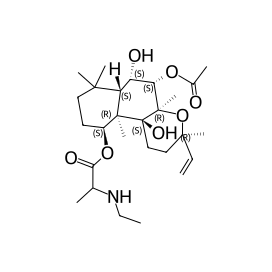 C=C[C@@]1(C)CC[C@]2(O)[C@@]3(C)[C@@H](OC(=O)C(C)NCC)CCC(C)(C)[C@@H]3[C@H](O)[C@H](OC(C)=O)[C@@]2(C)O1